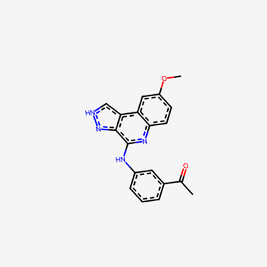 COc1ccc2nc(Nc3cccc(C(C)=O)c3)c3n[nH]cc3c2c1